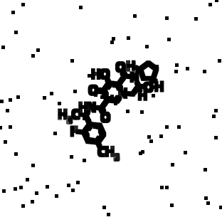 Cc1ccc([C@@H](C)NC(=O)c2cn3c(c(O)c2=O)C(=O)N2[C@@H]4CC[C@@H](C4)O[C@H]2C3)c(F)c1